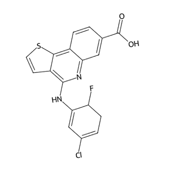 O=C(O)c1ccc2c(c1)nc(NC1=CC(Cl)=CCC1F)c1ccsc12